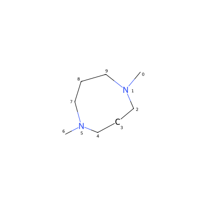 CN1CCCN(C)CCC1